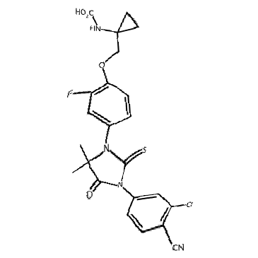 CC1(C)C(=O)N(c2ccc(C#N)c(Cl)c2)C(=S)N1c1ccc(OCC2(NC(=O)O)CC2)c(F)c1